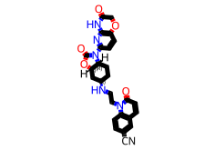 N#Cc1ccc2c(ccc(=O)n2CCN[C@@H]2CC[C@@H]3[C@@H](C2)OC(=O)N3c2ccc3c(n2)NC(=O)CO3)c1